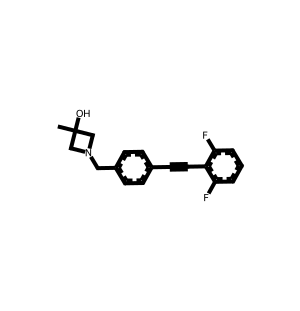 CC1(O)CN(Cc2ccc(C#Cc3c(F)cccc3F)cc2)C1